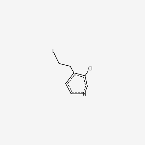 Clc1cnccc1CCI